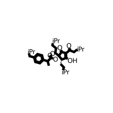 CC(C)CCC(=O)[C@@]1(OC(=O)C(C)c2ccc(CC(C)C)cc2)C(=O)C(C(=O)CC(C)C)=C(O)[C@@H]1CCC(C)C